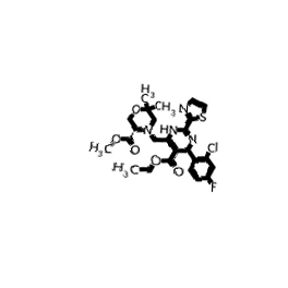 CCOC(=O)C1=C(CN2CC(C)(C)OC[C@H]2C(=O)OC)NC(c2nccs2)=NC1c1ccc(F)cc1Cl